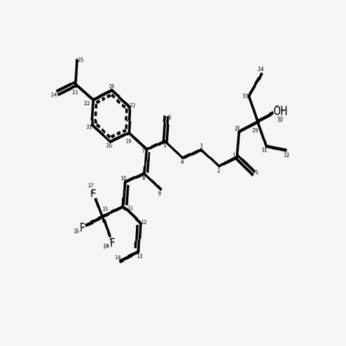 C=C(CCCC(=C)/C(=C(C)/C=C(\C=C/C)C(F)(F)F)c1ccc(C(=C)C)cc1)CC(O)(CC)CC